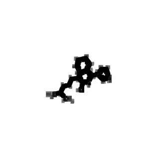 CC(C)CCCc1c(Cl)nc(-n2ccnc2)c2ccccc12